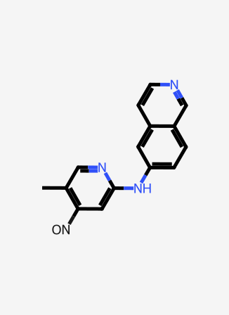 Cc1cnc(Nc2ccc3cnccc3c2)cc1N=O